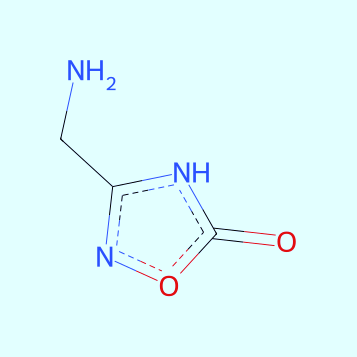 NCc1noc(=O)[nH]1